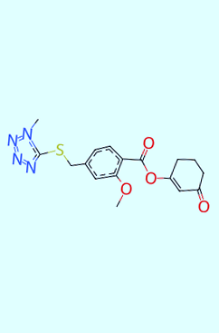 COc1cc(CSc2nnnn2C)ccc1C(=O)OC1=CC(=O)CCC1